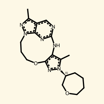 Cc1nn2c3nc(ncc13)Nc1c(nn([C@H]3CCCCOC3)c1C)OCCC2